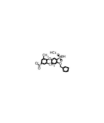 Cc1cc([N+](=O)[O-])cc(C)c1Oc1ccc(OCc2ccccc2)c(S(=O)(=O)O)c1.[CsH]